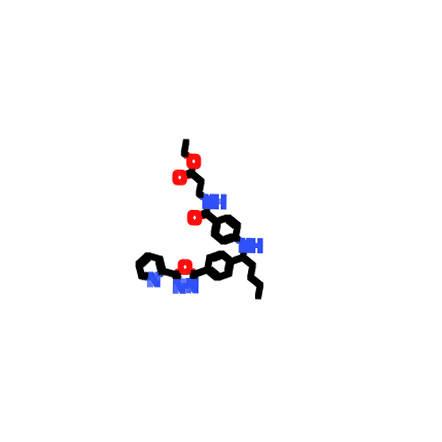 CCCCC(Nc1ccc(C(=O)NCCC(=O)OCC)cc1)c1ccc(-c2nnc(-c3ccccn3)o2)cc1